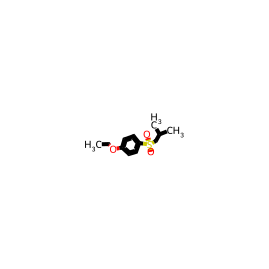 CCOc1ccc(S(=O)(=O)C[C](C)C)cc1